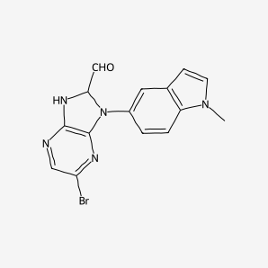 Cn1ccc2cc(N3c4nc(Br)cnc4NC3C=O)ccc21